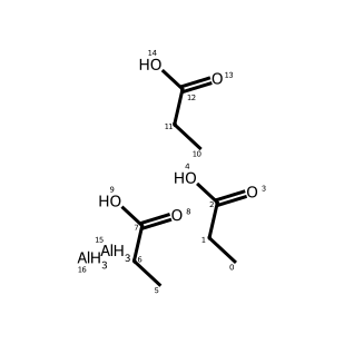 CCC(=O)O.CCC(=O)O.CCC(=O)O.[AlH3].[AlH3]